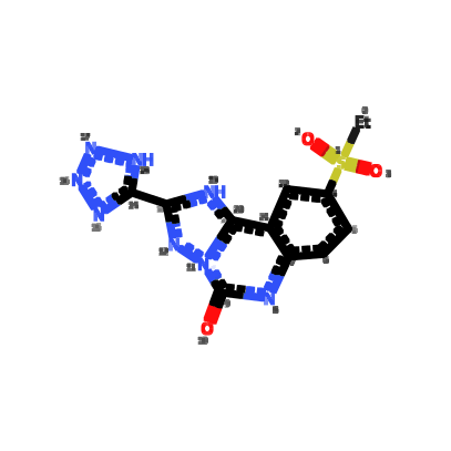 CCS(=O)(=O)c1ccc2nc(=O)n3nc(-c4nnn[nH]4)[nH]c3c2c1